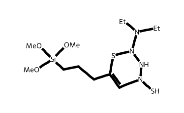 CCN(CC)n1[nH]n(S)cc(CCC[Si](OC)(OC)OC)s1